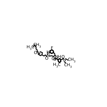 CCCN(CCC)C(=O)c1cc(C)cc(C(=O)NC(Cc2cc(F)cc(F)c2)C(O)CCNC(=O)CCC2CCN(C(=O)CCCN(C)C)CC2)c1